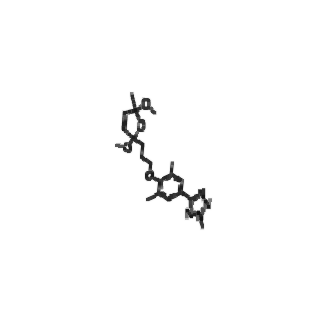 COC1(C)C=CC(CCCOc2c(C)cc(-c3nnn(C)n3)cc2C)(OC)O1